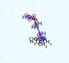 Cc1sc2c(c1C)C(c1ccc(Cl)cc1)=NC(CC(=O)NCCCCNCC(=O)NCc1scc3c1CN(C1CCC(=O)NC1=O)C3=O)c1nnc(C)n1-2